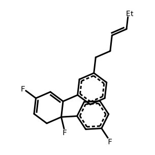 CCC=CCCc1cccc(C2=CC(F)=CCC2(F)c2cccc(F)c2)c1